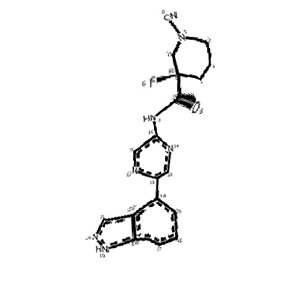 N#CN1CCC[C@](F)(C(=O)Nc2cnc(-c3cccc4[nH]ncc34)cn2)C1